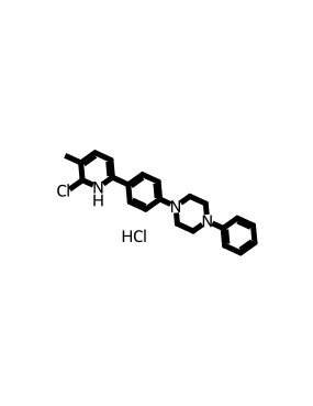 CC1=CC=C(c2ccc(N3CCN(c4ccccc4)CC3)cc2)NC1Cl.Cl